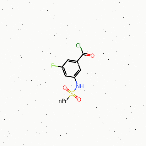 CCCS(=O)(=O)Nc1cc(F)cc(C(=O)Cl)c1